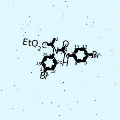 CCOC(=O)C(C)N(C(=O)Nc1ccc(Br)cc1)c1ccc(Br)cc1